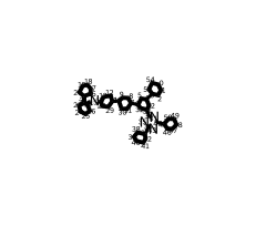 c1ccc(-c2cc(-c3ccc(-c4ccc(-n5c6ccccc6c6ccccc65)cc4)cc3)cc(-c3nc(-c4ccccc4)nc(-c4ccccc4)n3)c2)cc1